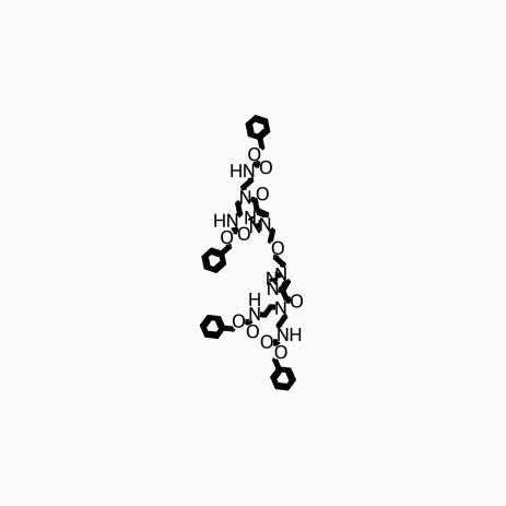 O=C(NCCN(CCNC(=O)OCc1ccccc1)C(=O)c1cn(CCOCCn2cc(C(=O)N(CCNC(=O)OCc3ccccc3)CCNC(=O)OCc3ccccc3)nn2)nn1)OCc1ccccc1